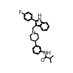 CC(C)C(=O)Nc1cccc(C2CCN(Cc3c(-c4ccc(F)cc4)[nH]c4ccccc34)CC2)c1